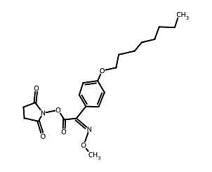 CCCCCCCCOc1ccc(/C(=N/OC)C(=O)ON2C(=O)CCC2=O)cc1